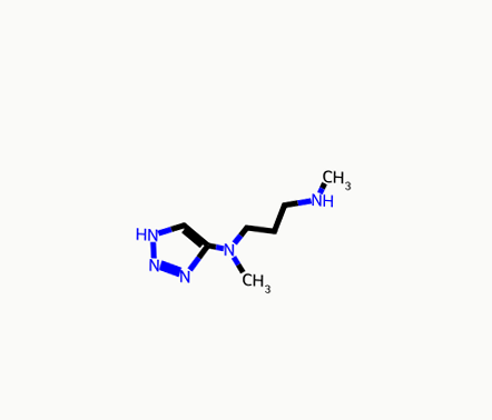 CNCCCN(C)c1c[nH]nn1